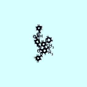 CC(C)c1ccc(OCc2ccccc2)c(C(=O)N(Cc2ccc(C(=O)NOCc3ccccc3)cc2)c2ccc(N3CCCCC3)cc2)c1